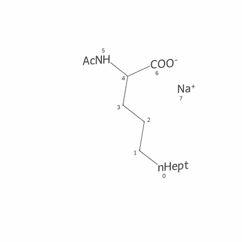 CCCCCCCCCCC(NC(C)=O)C(=O)[O-].[Na+]